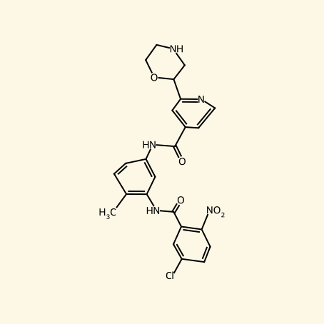 Cc1ccc(NC(=O)c2ccnc(C3CNCCO3)c2)cc1NC(=O)c1cc(Cl)ccc1[N+](=O)[O-]